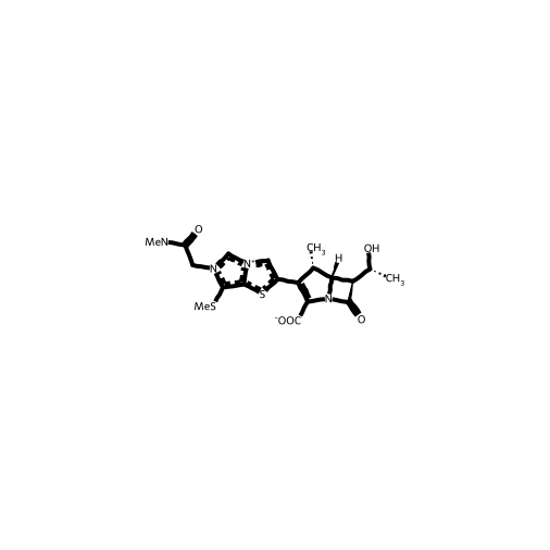 CNC(=O)Cn1c[n+]2cc(C3=C(C(=O)[O-])N4C(=O)[C@H]([C@@H](C)O)[C@H]4[C@H]3C)sc2c1SC